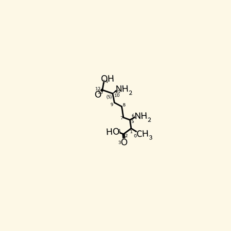 CC(C(=O)O)C(N)CCC[C@H](N)C(=O)O